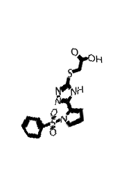 O=C(O)CSc1nnc(-c2cccn2S(=O)(=O)c2ccccc2)[nH]1